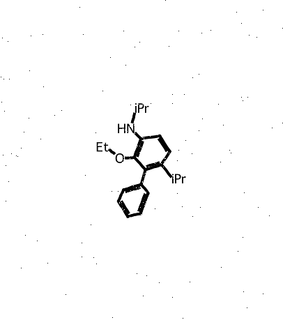 CCOc1c(NC(C)C)ccc(C(C)C)c1-c1ccccc1